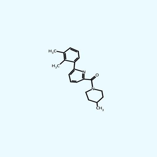 Cc1cccc(-c2cccc(C(=O)N3CCC(C)CC3)n2)c1C